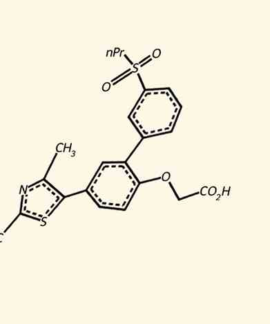 CCCS(=O)(=O)c1cccc(-c2cc(-c3sc(C)nc3C)ccc2OCC(=O)O)c1